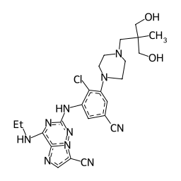 CCNc1nc(Nc2cc(C#N)cc(N3CCN(CC(C)(CO)CO)CC3)c2Cl)nn2c(C#N)cnc12